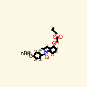 C=CCOC(=O)COc1cccc2c1cc(C)n2C(=O)c1ccc(OCCCC)cc1